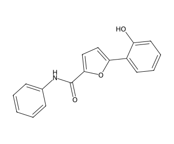 O=C(Nc1ccccc1)c1ccc(-c2ccccc2O)o1